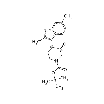 Cc1ccc2c(c1)nc(C)n2[C@H]1CCN(C(=O)OC(C)(C)C)C[C@@H]1O